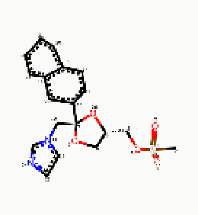 CS(=O)(=O)OC[C@@H]1CO[C@](Cn2ccnc2)(c2ccc3ccccc3c2)O1